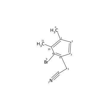 Cc1ccc(CC#N)c(Br)c1C